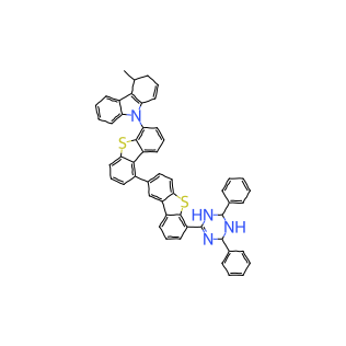 CC1CC=Cc2c1c1ccccc1n2-c1cccc2c1sc1cccc(-c3ccc4sc5c(C6=NC(c7ccccc7)NC(c7ccccc7)N6)cccc5c4c3)c12